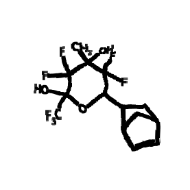 CC1(O)C(F)(F)C(C2CC3C=CC2C3)OC(O)(C(F)(F)F)C1(F)F